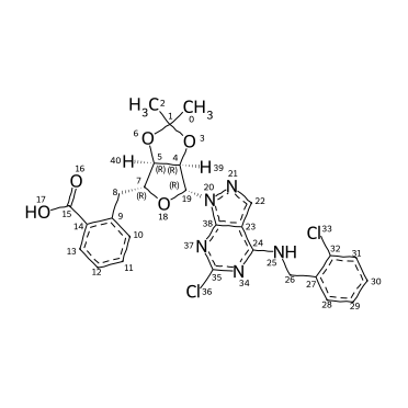 CC1(C)O[C@@H]2[C@H](O1)[C@@H](Cc1ccccc1C(=O)O)O[C@H]2n1ncc2c(NCc3ccccc3Cl)nc(Cl)nc21